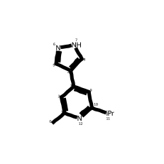 Cc1cc(-c2cn[nH]c2)cc(C(C)C)n1